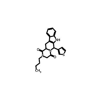 CCCCN1CC(=O)N2C(Cc3c([nH]c4ccccc34)C2c2ccsc2)C1=O